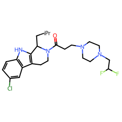 CC(C)CC1c2[nH]c3ccc(Cl)cc3c2CCN1C(=O)CCN1CCN(CC(F)F)CC1